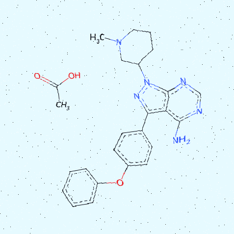 CC(=O)O.CN1CCCC(n2nc(-c3ccc(Oc4ccccc4)cc3)c3c(N)ncnc32)C1